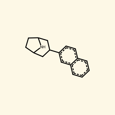 c1ccc2cc(C3CC4CCC(C3)N4)ccc2c1